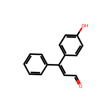 O=[C]C=C(c1ccccc1)c1ccc(O)cc1